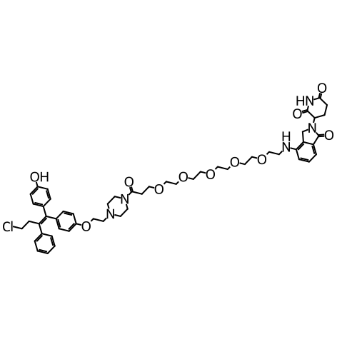 O=C1CCC(N2Cc3c(NCCOCCOCCOCCOCCOCCC(=O)N4CCN(CCOc5ccc(C(=C(CCCl)c6ccccc6)c6ccc(O)cc6)cc5)CC4)cccc3C2=O)C(=O)N1